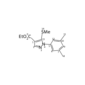 CCOC(=O)c1cnn(-c2cc(C)cc(C)c2)c1SC